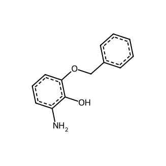 Nc1cccc(OCc2ccccc2)c1O